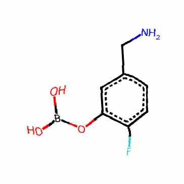 NCc1ccc(F)c(OB(O)O)c1